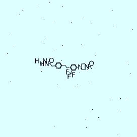 CC(=O)N1CCN(c2ccc(CCc3ccc(CC(=O)NN)cc3)c(C(F)(F)F)c2)CC1